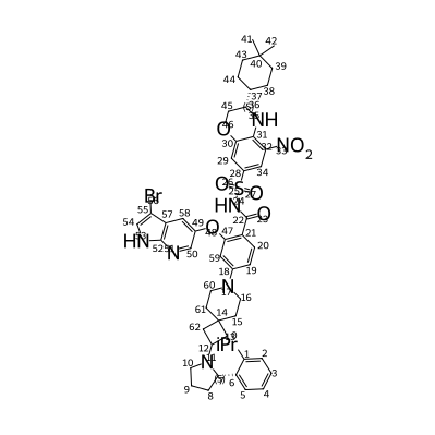 CC(C)c1ccccc1[C@@H]1CCCN1C1CC2(CCN(c3ccc(C(=O)NS(=O)(=O)c4cc5c(c([N+](=O)[O-])c4)N[C@@H](C4CCC(C)(C)CC4)CO5)c(Oc4cnc5[nH]cc(Br)c5c4)c3)CC2)C1